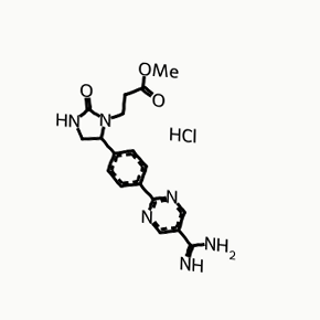 COC(=O)CCN1C(=O)NCC1c1ccc(-c2ncc(C(=N)N)cn2)cc1.Cl